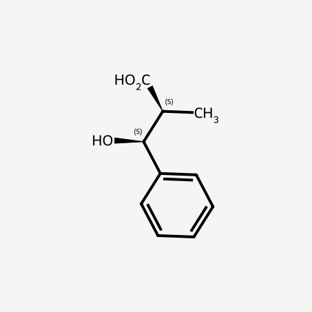 C[C@H](C(=O)O)[C@H](O)c1ccccc1